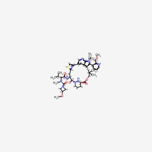 CCn1c(-c2cccnc2[C@H](C)OC)c2c3cc(cnc31)-c1csc(n1)C[C@H](NC(=O)[C@H](C(C)C)N(C)C(=O)N1CC(OC)C1)C(=O)N1CCC[C@@](O)(N1)C(=O)OCC(C)(C)C2